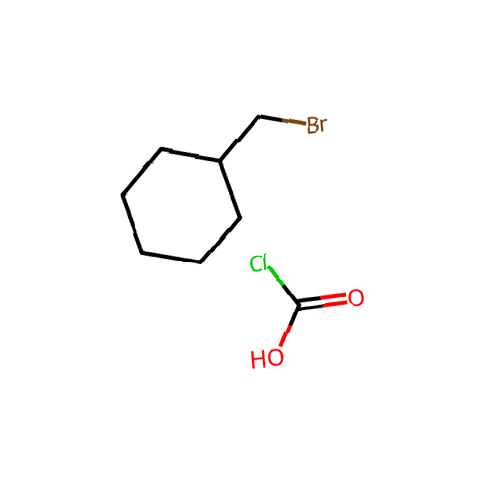 BrCC1CCCCC1.O=C(O)Cl